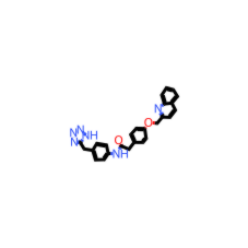 O=C(Cc1ccc(OCc2ccc3ccccc3n2)cc1)Nc1ccc(Cc2nnn[nH]2)cc1